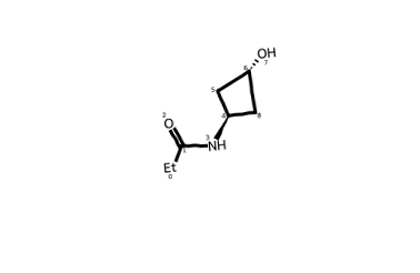 CCC(=O)N[C@H]1C[C@H](O)C1